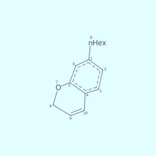 [CH2]CCCCCc1ccc2c(c1)OCC=C2